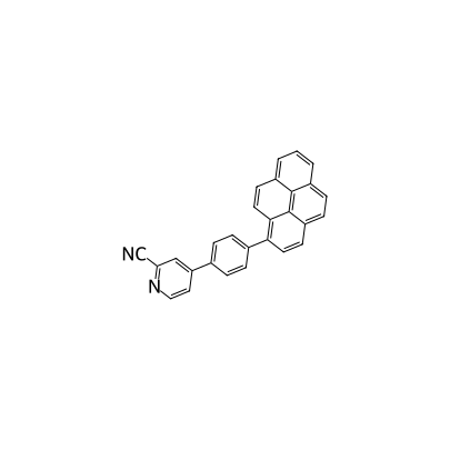 N#Cc1cc(-c2ccc(-c3ccc4ccc5cccc6ccc3c4c56)cc2)ccn1